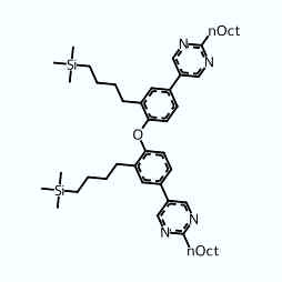 CCCCCCCCc1ncc(-c2ccc(Oc3ccc(-c4cnc(CCCCCCCC)nc4)cc3CCCC[Si](C)(C)C)c(CCCC[Si](C)(C)C)c2)cn1